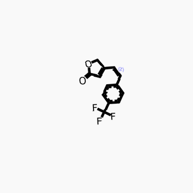 O=C1C=C(/C=C\c2ccc(C(F)(F)F)cc2)CO1